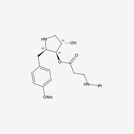 COc1ccc(C[C@H]2NC[C@H](O)[C@H]2OC(=O)CCNC(C)C)cc1